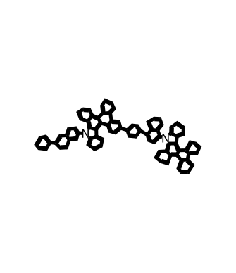 c1ccc(-c2ccc3cc(-n4c5ccccc5c5c6c7ccc(-c8ccc(-c9ccc(-n%10c%11ccccc%11c%11c%12c%13ccccc%13c%13ccccc%13c%12c%12ccccc%12c%11%10)c%10ccccc9%10)cc8)cc7c7ccccc7c6c6ccccc6c54)ccc3c2)cc1